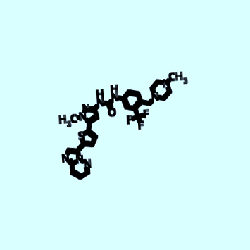 CN1CCN(Cc2ccc(NC(=O)Nc3cc(-c4ccc(-c5cnc6cccnn56)s4)n(C)n3)cc2C(F)(F)F)CC1